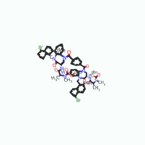 COc1ccc2c(Br)cccc2c1CN1C(=O)[C@@H](NC(=O)[C@H](C)N(C)C(=O)OC(C)(C)C)CN(C(=O)c2ccc(C(=O)N3C[C@H](NC(=O)[C@H](C)N(C)C(=O)OC(C)(C)C)C(=O)N(Cc4c(OC)ccc5c(Br)cccc45)c4ccccc43)cc2)c2ccccc21